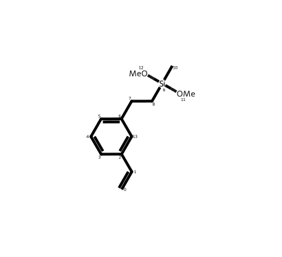 C=Cc1cccc(CC[Si](C)(OC)OC)c1